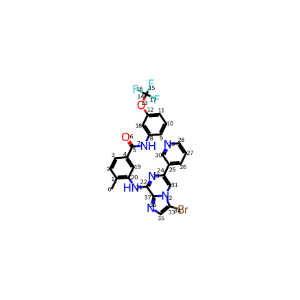 Cc1ccc(C(=O)Nc2cccc(OC(F)(F)F)c2)cc1Nc1nc(-c2cccnc2)cn2c(Br)cnc12